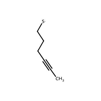 CC#CCCC[S]